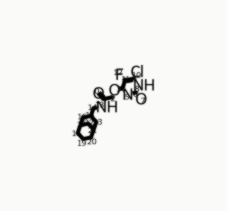 O=C(COc1nc(=O)[nH]c(Cl)c1F)NCC1CC2CCCC(C2)C1